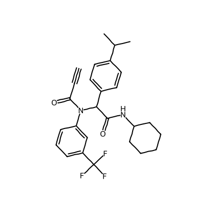 C#CC(=O)N(c1cccc(C(F)(F)F)c1)C(C(=O)NC1CCCCC1)c1ccc(C(C)C)cc1